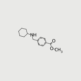 COC(=O)c1ccc(CNC2CCCCC2)cc1